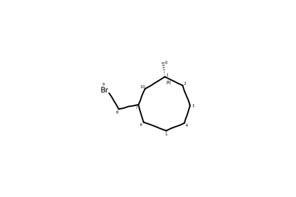 C[C@@H]1CCCCCC(CBr)C1